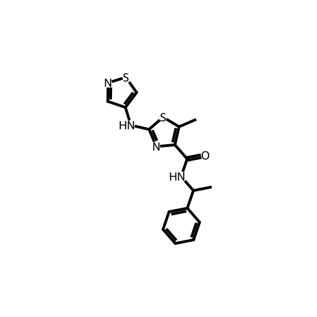 Cc1sc(Nc2cnsc2)nc1C(=O)NC(C)c1ccccc1